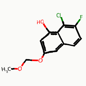 COCOc1cc(O)c2c(Cl)c(F)ccc2c1